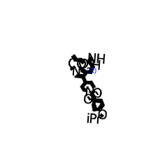 C=CCOC(=N)/C=C\c1cn(CC(=O)O)cc1C1CCN(S(=O)(=O)c2ccc(OC(C)C)cc2)CC1